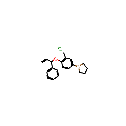 C=CC(Oc1ccc([S+]2CCCC2)cc1C)c1ccccc1.[Cl-]